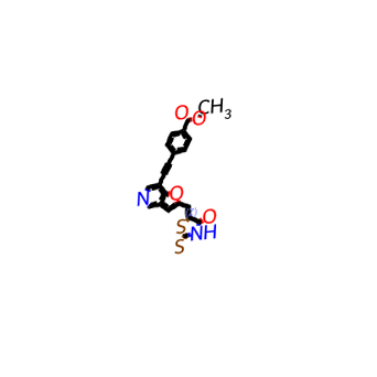 COC(=O)c1ccc(C#Cc2cncc3cc(/C=C4\SC(=S)NC4=O)oc23)cc1